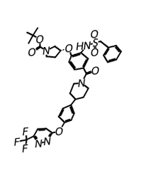 CC(C)(C)OC(=O)N1CC[C@@H](Oc2ccc(C(=O)N3CCC(c4ccc(Oc5ccc(C(F)(F)F)nn5)cc4)CC3)cc2NS(=O)(=O)Cc2ccccc2)C1